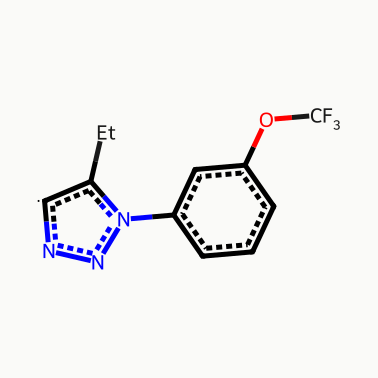 CCc1[c]nnn1-c1cccc(OC(F)(F)F)c1